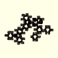 c1ccc(-c2cc(-c3ccccc3)cc(-c3nc(-n4c5ccccc5c5cc(-c6ccc7c(c6)c6ccccc6n7-c6ccccc6)ccc54)nc4ccoc34)c2)cc1